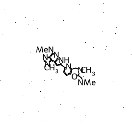 CNCC(=O)N(C)Cc1cccc(-c2cc3c(nc(NC)c4ncn(C)c43)[nH]2)n1